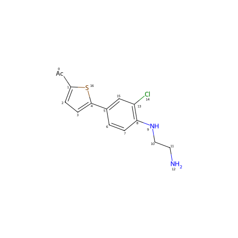 CC(=O)c1ccc(-c2ccc(NCCN)c(Cl)c2)s1